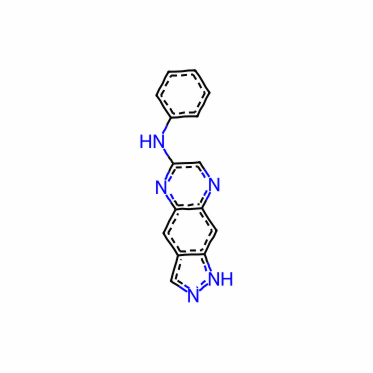 c1ccc(Nc2cnc3cc4[nH]ncc4cc3n2)cc1